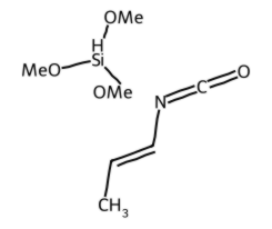 CC=CN=C=O.CO[SiH](OC)OC